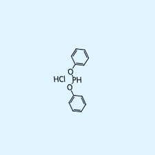 Cl.c1ccc(OPOc2ccccc2)cc1